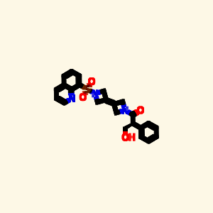 O=C([C@H](CO)c1ccccc1)N1CC(=C2CN(S(=O)(=O)c3cccc4cccnc34)C2)C1